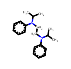 CC(C)N([SiH2][SiH2]N(c1ccccc1)C(C)C)c1ccccc1